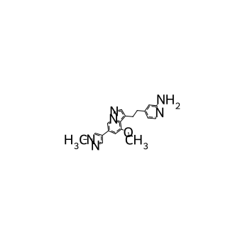 COc1cc(-c2cnn(C)c2)cn2ncc(CCc3ccnc(N)c3)c12